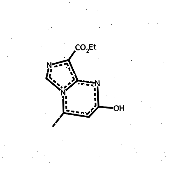 CCOC(=O)c1ncn2c(C)cc(O)nc12